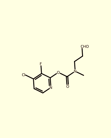 CN(CCC=O)C(=O)Oc1nccc(Cl)c1F